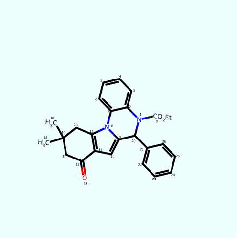 CCOC(=O)N1c2ccccc2-n2c(cc3c2CC(C)(C)CC3=O)C1c1ccccc1